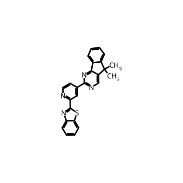 CC1(C)c2ccccc2-c2nc(-c3ccnc(-c4nc5ccccc5s4)c3)ncc21